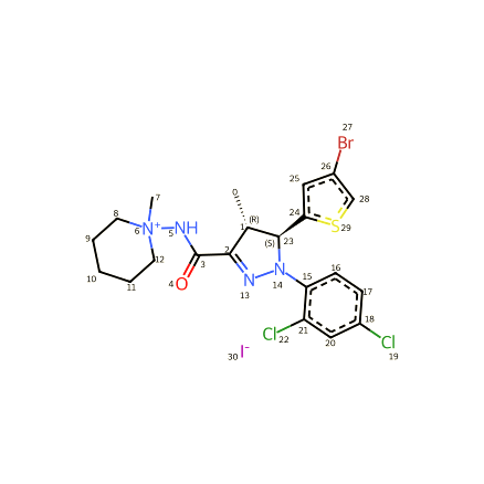 C[C@H]1C(C(=O)N[N+]2(C)CCCCC2)=NN(c2ccc(Cl)cc2Cl)[C@@H]1c1cc(Br)cs1.[I-]